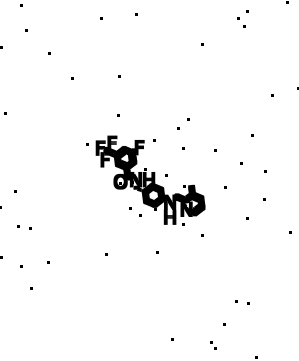 Cc1cccnc1CN[C@H]1CC[C@@H](CNC(=O)c2cc(F)cc(C(F)(F)F)c2)CC1